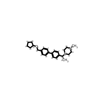 C[C@@H](c1ccc(-c2ccc(COC3CCCC3)cc2)cc1)N1CCN(C)CC1